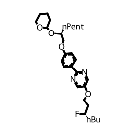 CCCCC[C@@H](COc1ccc(-c2ncc(OCC[C@@H](F)CCCC)cn2)cc1)OC1CCCCO1